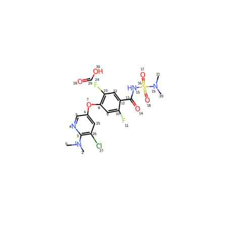 CN(C)c1ncc(Oc2cc(F)c(C(=O)NS(=O)(=O)N(C)C)cc2F)cc1Cl.O=CO